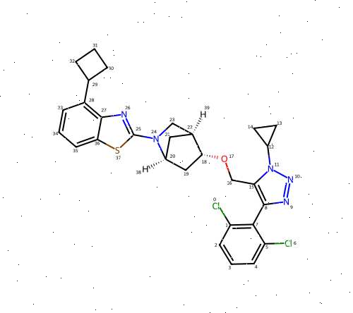 Clc1cccc(Cl)c1-c1nnn(C2CC2)c1CO[C@@H]1C[C@@H]2C[C@H]1CN2c1nc2c(C3CCC3)cccc2s1